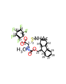 CC(=O)NSC[C@@H](C(=O)Oc1c(F)c(F)c(F)c(F)c1F)N(C)C(=O)OCC1c2ccccc2-c2ccccc21